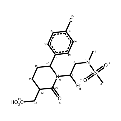 CCC(CN(C)S(C)(=O)=O)N1C(=O)C(CC(=O)O)CCC1c1ccc(Cl)cc1